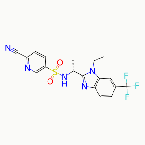 CCn1c([C@@H](C)NS(=O)(=O)c2ccc(C#N)nc2)nc2ccc(C(F)(F)F)cc21